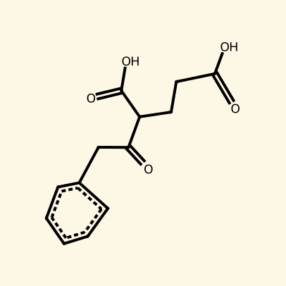 O=C(O)CCC(C(=O)O)C(=O)Cc1ccccc1